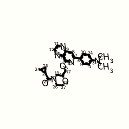 CN(C)c1ccc(-c2cc3nccnc3c(OCC3CN(C(=O)C4CC4)CCO3)n2)cc1